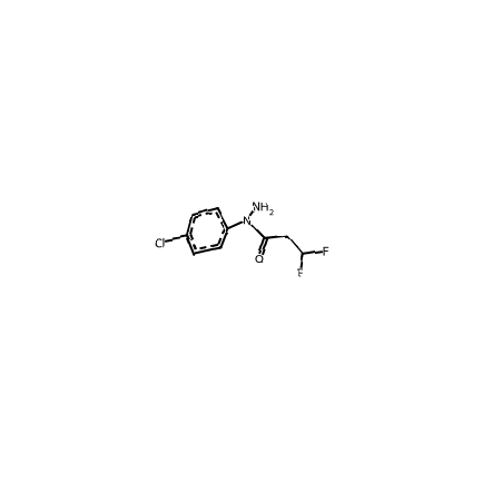 NN(C(=O)CC(F)F)c1ccc(Cl)cc1